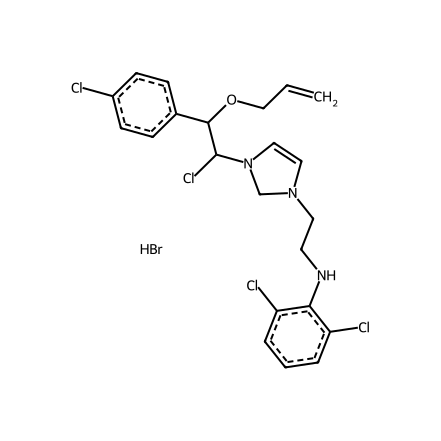 Br.C=CCOC(c1ccc(Cl)cc1)C(Cl)N1C=CN(CCNc2c(Cl)cccc2Cl)C1